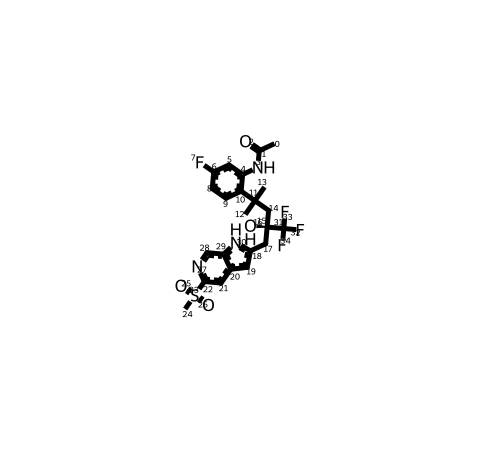 CC(=O)Nc1cc(F)ccc1C(C)(C)C[C@@](O)(Cc1cc2cc(S(C)(=O)=O)ncc2[nH]1)C(F)(F)F